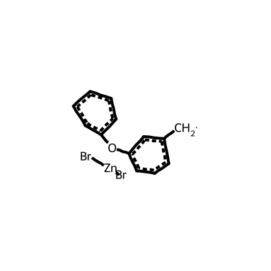 [Br][Zn][Br].[CH2]c1cccc(Oc2ccccc2)c1